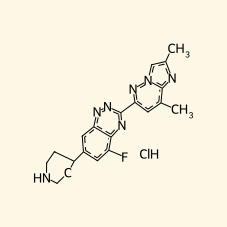 Cc1cn2nc(-c3nnc4cc(C5CCNCC5)cc(F)c4n3)cc(C)c2n1.Cl